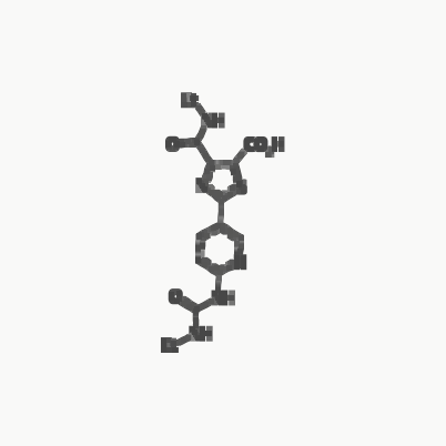 CCNC(=O)Nc1ccc(-c2nc(C(=O)NCC)c(C(=O)O)s2)cn1